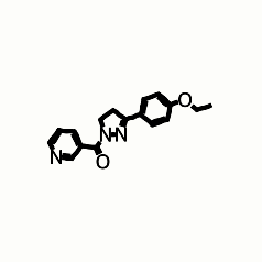 CCOc1ccc(C2=NN(C(=O)c3cccnc3)CC2)cc1